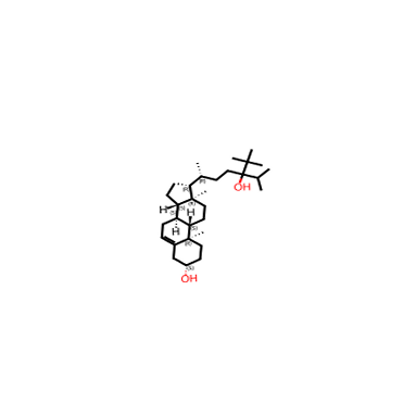 CC(C)C(O)(CC[C@@H](C)[C@H]1CC[C@H]2[C@@H]3CC=C4C[C@@H](O)CC[C@]4(C)[C@H]3CC[C@]12C)C(C)(C)C